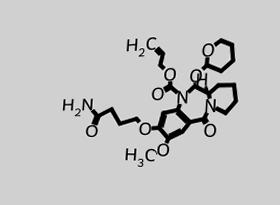 C=CCOC(=O)N1c2cc(OCCCC(N)=O)c(OC)cc2C(=O)N2CCCC[C@H]2[C@@H]1OC1CCCCO1